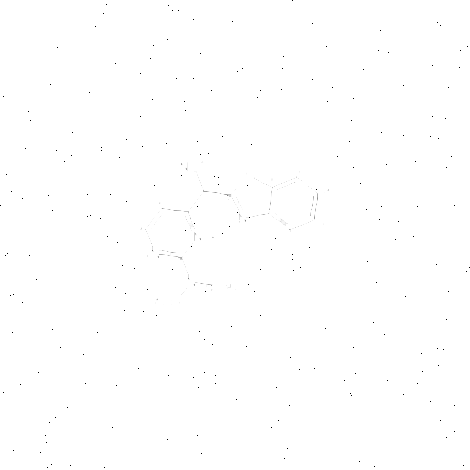 CC(=O)ON(c1nccc(C(C#N)c2nc3ccccc3s2)n1)C(C)(C)C